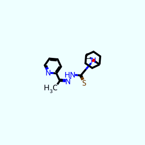 CC(=NNC(=S)N1CC2CCC(CC2)C1)c1ccccn1